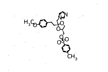 COc1ccc(CC[C@@]2(Cn3ccnc3)OC[C@@H](COS(=O)(=O)c3ccc(C)cc3)O2)cc1